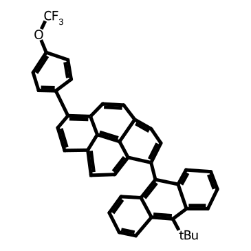 CC(C)(C)c1c2ccccc2c(-c2ccc3ccc4c(-c5ccc(OC(F)(F)F)cc5)ccc5ccc2c3c54)c2ccccc12